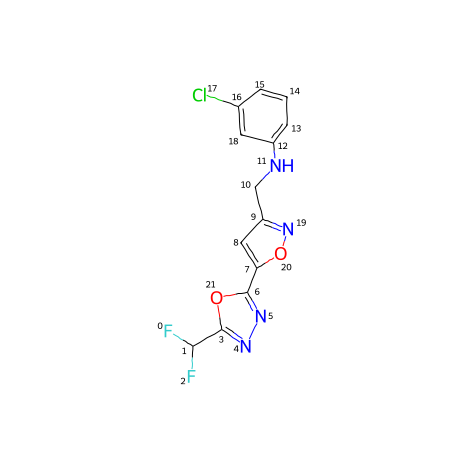 FC(F)c1nnc(-c2cc(CNc3cccc(Cl)c3)no2)o1